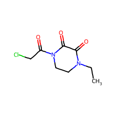 CCN1CCN(C(=O)CCl)C(=O)C1=O